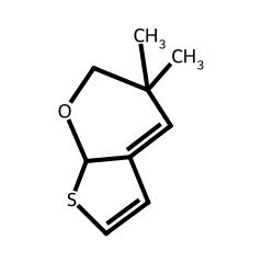 CC1(C)C=C2C=CSC2OC1